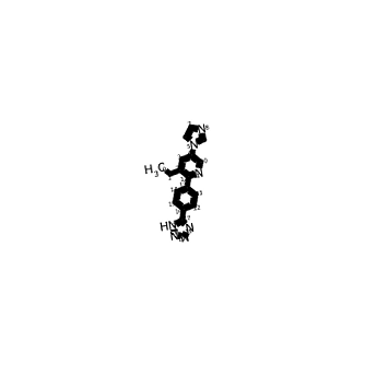 CCc1cc(-n2ccnc2)cnc1-c1ccc(-c2nnn[nH]2)cc1